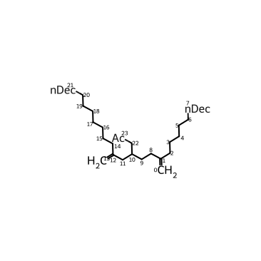 C=C(CCCCCCCCCCCCCCC)CCC(CC(=C)CCCCCCCCCCCCCCCCC)CC(C)=O